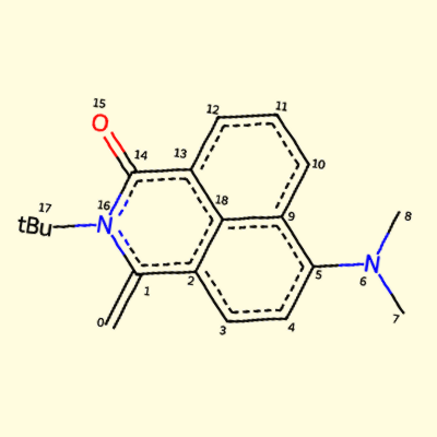 C=c1c2ccc(N(C)C)c3cccc(c(=O)n1C(C)(C)C)c32